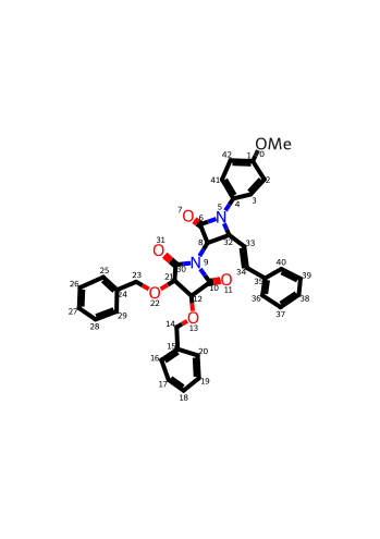 COc1ccc(N2C(=O)C(N3C(=O)C(OCc4ccccc4)C(OCc4ccccc4)C3=O)C2/C=C/c2ccccc2)cc1